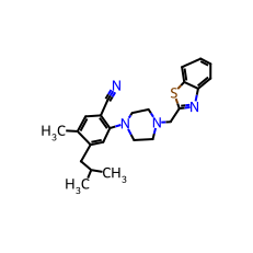 Cc1cc(C#N)c(N2CCN(Cc3nc4ccccc4s3)CC2)cc1CC(C)C